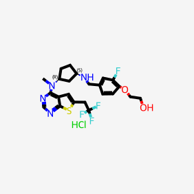 CN(c1ncnc2sc(CC(F)(F)F)cc12)[C@@H]1CC[C@H](NCc2ccc(OCCO)c(F)c2)C1.Cl